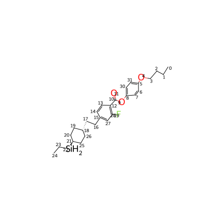 CCCCOc1ccc(OC(=O)c2ccc(CC[C@H]3CC[C@H]([SiH2]CC)CC3)cc2F)cc1